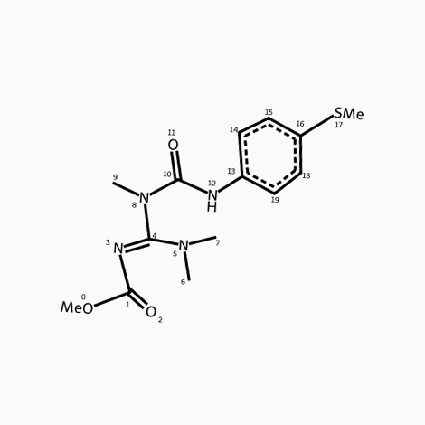 COC(=O)N=C(N(C)C)N(C)C(=O)Nc1ccc(SC)cc1